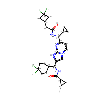 C[C@H]1C[C@@H]1C(=O)N[C@H](c1cn2ccc([C@H](NC(=O)CC3CC(F)(F)C3)C3CC3)nc2n1)C1CCC(F)(F)CC1